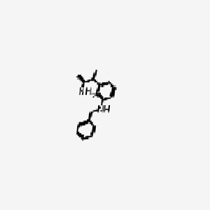 C=C(N)C(C)c1cccc(NCc2ccccc2)c1